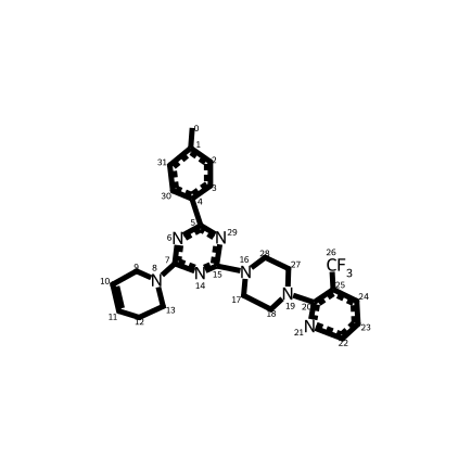 Cc1ccc(-c2nc(N3CC=CCC3)nc(N3CCN(c4ncccc4C(F)(F)F)CC3)n2)cc1